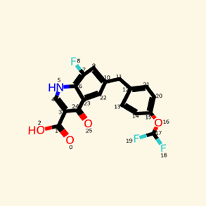 O=C(O)c1c[nH]c2c(F)cc(Cc3ccc(OC(F)F)cc3)cc2c1=O